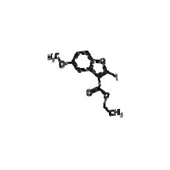 CCOC(=O)c1c(I)oc2ccc(OC)cc12